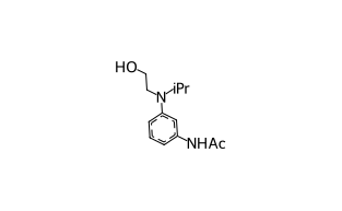 CC(=O)Nc1cccc(N(CCO)C(C)C)c1